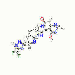 COc1cc([C@@H](C)C(=O)N2CC[C@@]3(CCc4cc(-c5nc(C(F)F)n(C)n5)c(C)nc4N3)C2)nc(C)n1